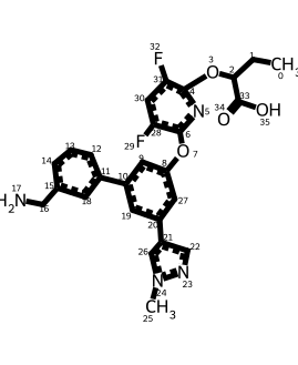 CCC(Oc1nc(Oc2cc(-c3cccc(CN)c3)cc(-c3cnn(C)c3)c2)c(F)cc1F)C(=O)O